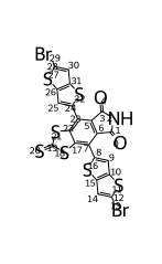 O=C1NC(=O)c2c1c(-c1cc3sc(Br)cc3s1)c1sc(=S)sc1c2-c1cc2sc(Br)cc2s1